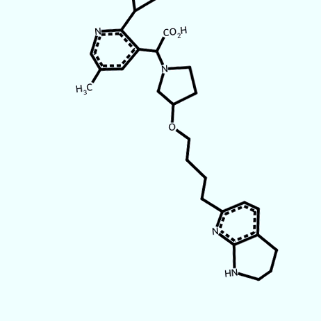 Cc1cnc(C2CC2)c(C(C(=O)O)N2CCC(OCCCCc3ccc4c(n3)NCCC4)C2)c1